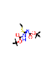 CCSC(=NC(=O)OC(C)(C)C)NC(=O)OC(C)(C)C